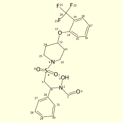 O=CN(O)C(CS(=O)(=O)N1CCC(Oc2ccccc2C(F)(F)F)CC1)c1ccccc1